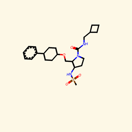 CS(=O)(=O)NC1CCN(C(=O)NCC2CCC2)C1COC1CCC(c2ccccc2)CC1